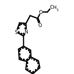 CCOC(=O)Cc1csc(-c2ccc3ccccc3c2)n1